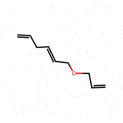 C=CCC=CCOCC=C